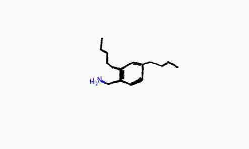 CCCCc1[c]cc(CN)c(CCCC)c1